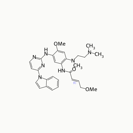 COC/C=C/C(=O)Nc1cc(Nc2nccc(-n3ccc4ccccc43)n2)c(OC)cc1N(C)CCN(C)C